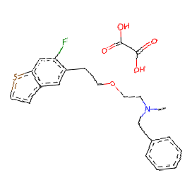 CN(CCOCCc1cc2ccsc2cc1F)Cc1ccccc1.O=C(O)C(=O)O